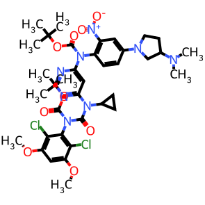 COc1cc(OC)c(Cl)c(N(C(=O)OC(C)(C)C)C(=O)N(c2cc(N(C(=O)OC(C)(C)C)c3ccc(N4CCC(N(C)C)C4)cc3[N+](=O)[O-])ncn2)C2CC2)c1Cl